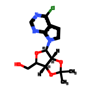 CC1(C)O[C@@H]2[C@H](O1)C(CO)O[C@H]2n1ccc2c(Cl)ncnc21